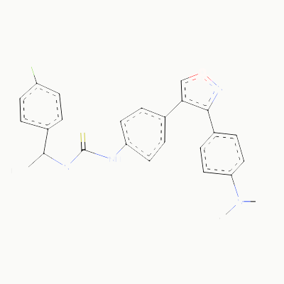 CC(NC(=S)Nc1ccc(-c2conc2-c2ccc(N(C)C)cc2)cc1)c1ccc(F)cc1